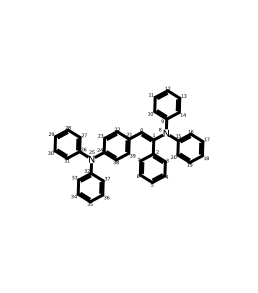 C(=C(c1ccccc1)N(c1ccccc1)c1ccccc1)c1ccc(N(c2ccccc2)c2ccccc2)cc1